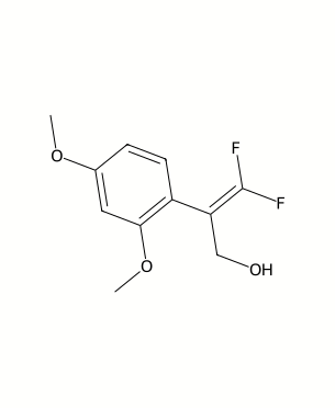 COc1ccc(C(CO)=C(F)F)c(OC)c1